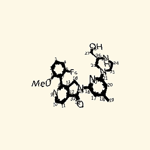 COc1cccc(F)c1-c1nccc2c1CN(c1cc(C)cc(N3CCN[C@H](CO)C3)n1)C2=O